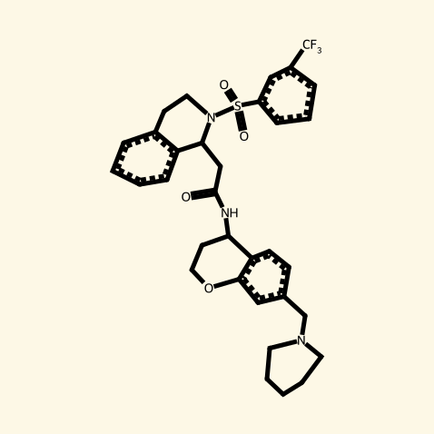 O=C(CC1c2ccccc2CCN1S(=O)(=O)c1cccc(C(F)(F)F)c1)NC1CCOc2cc(CN3CCCCC3)ccc21